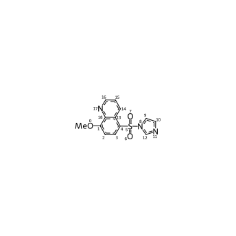 COc1ccc(S(=O)(=O)n2ccnc2)c2cccnc12